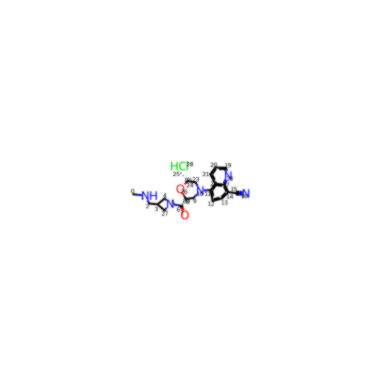 CNCC1CN(C(=O)[C@H]2CN(c3ccc(C#N)c4ncccc34)C[C@@H](C)O2)C1.Cl